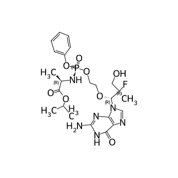 CC(C)OC(=O)[C@@H](C)N[P@@](=O)(OCCO[C@@H](n1cnc2c(=O)[nH]c(N)nc21)[C@](C)(F)CO)Oc1ccccc1